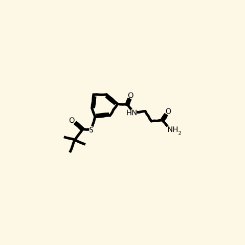 CC(C)(C)C(=O)Sc1cccc(C(=O)NCCC(N)=O)c1